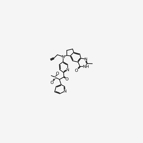 C#CCN(c1ccc(C(=O)C(c2cccnc2)S(C)(=O)=O)nc1)C1CCc2cc3nc(C)[nH]c(=O)c3cc21